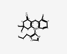 CCCc1scnc1NC1=C(Cc2ccccc2C)C(=O)CC(C)(C)C1